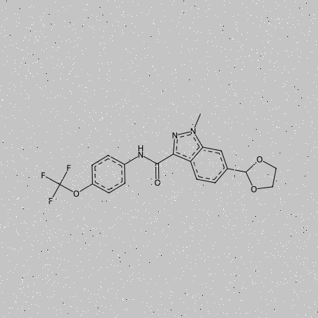 Cn1nc(C(=O)Nc2ccc(OC(F)(F)F)cc2)c2ccc(C3OCCO3)cc21